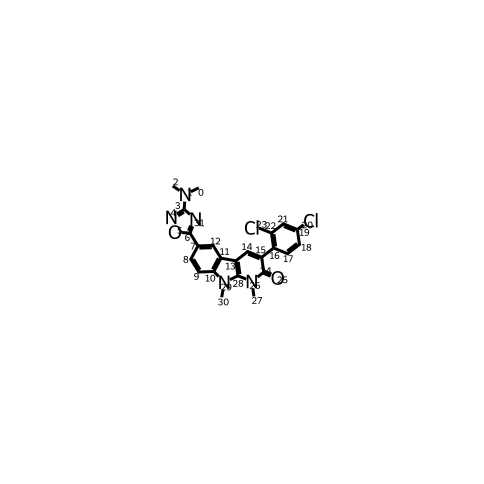 CN(C)c1noc(-c2ccc3c(c2)c2cc(-c4ccc(Cl)cc4Cl)c(=O)n(C)c2n3C)n1